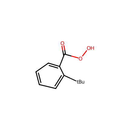 CC(C)(C)c1ccccc1C(=O)OO